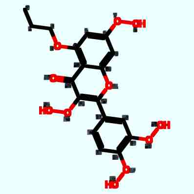 CCCOc1cc(OO)cc2oc(-c3ccc(OO)c(OO)c3)c(OO)c(=O)c12